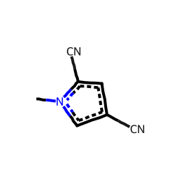 Cn1cc(C#N)cc1C#N